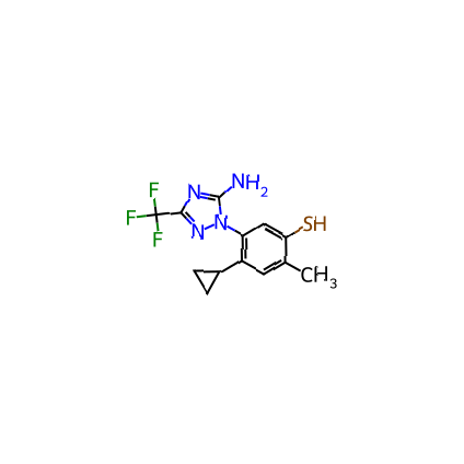 Cc1cc(C2CC2)c(-n2nc(C(F)(F)F)nc2N)cc1S